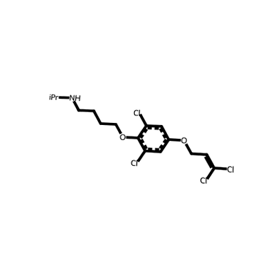 CC(C)NCCCCOc1c(Cl)cc(OCC=C(Cl)Cl)cc1Cl